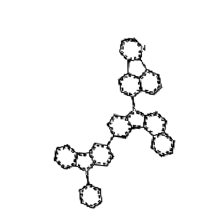 c1ccc(-n2c3ccccc3c3cc(-c4ccc5c(c4)c4c6ccccc6ccc4n5-c4ccc5c6c(cccc46)-c4ncccc4-5)ccc32)cc1